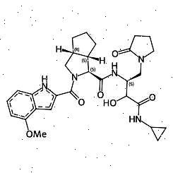 COc1cccc2[nH]c(C(=O)N3C[C@@H]4CCC[C@@H]4[C@H]3C(=O)N[C@@H](CN3CCCC3=O)C(O)C(=O)NC3CC3)cc12